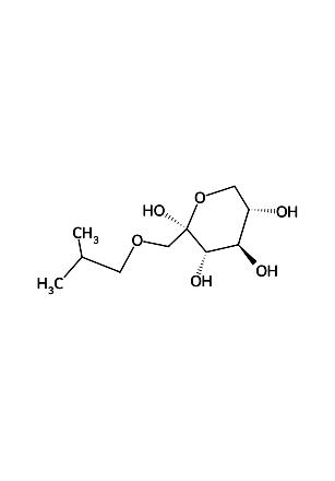 CC(C)COC[C@@]1(O)OC[C@H](O)[C@@H](O)[C@@H]1O